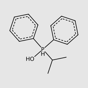 CC(C)[PH](O)(c1ccccc1)c1ccccc1